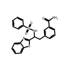 NC(=O)c1cccc(CC(NS(=O)(=O)c2ccccc2)c2nc3ccccc3s2)c1